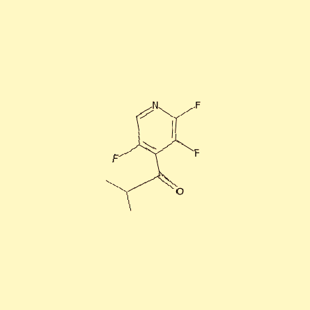 CC(C)C(=O)c1c(F)cnc(F)c1F